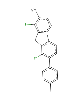 CCCc1ccc2c(c1F)Cc1c-2ccc(-c2ccc(C)cc2)c1F